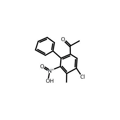 CC(=O)c1cc(Cl)c(C)c([N+](=O)O)c1-c1ccccc1